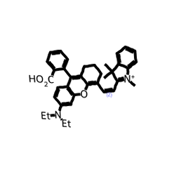 CCN(CC)c1ccc2c(c1)OC1=C(/C=C\C3=[N+](C)c4ccccc4C3(C)C)CCCC1=C2c1ccccc1C(=O)O